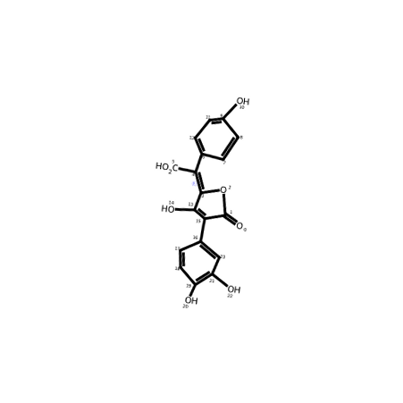 O=C1O/C(=C(/C(=O)O)c2ccc(O)cc2)C(O)=C1c1ccc(O)c(O)c1